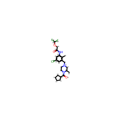 Cc1c(CN2CCN(C(=O)C3CCCC3)C(C)C2)cc(Cl)cc1NC(=O)COC(F)F